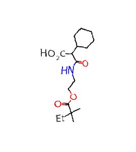 CCC(C)(C)C(=O)OCCNC(=O)C(C(=O)O)C1CCCCC1